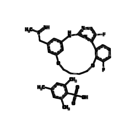 CS(=N)Cc1cc2cc(c1)OCCCCOc1c(F)cccc1-c1nc(ncc1F)N2.Cc1cc(C)c(S(=O)(=O)O)c(C)c1